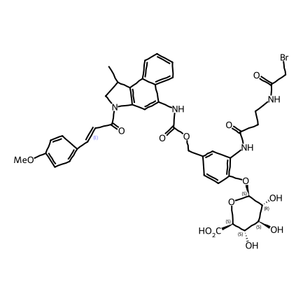 COc1ccc(/C=C/C(=O)N2CC(C)c3c2cc(NC(=O)OCc2ccc(O[C@@H]4O[C@H](C(=O)O)[C@@H](O)[C@H](O)[C@H]4O)c(NC(=O)CCNC(=O)CBr)c2)c2ccccc32)cc1